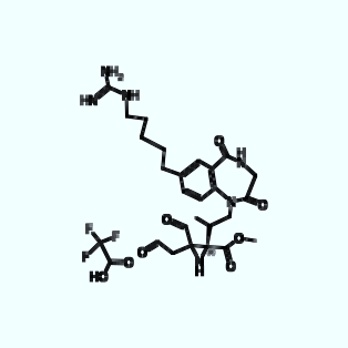 COC(=O)[C@]1(C(C)CN2C(=O)CNC(=O)c3cc(CCCCCNC(=N)N)ccc32)NC1(C=O)CC=O.O=C(O)C(F)(F)F